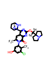 [2H]C([2H])(Oc1nc(N2CC3CCC2CN3)c2cc(C(F)(F)F)n(-c3cc(O)cc(Cl)c3C(F)(F)F)c(=O)c2n1)C12CCCN1CCC2